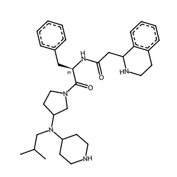 CC(C)CN(C1CCNCC1)C1CCN(C(=O)[C@@H](Cc2ccccc2)NC(=O)CC2NCCc3ccccc32)C1